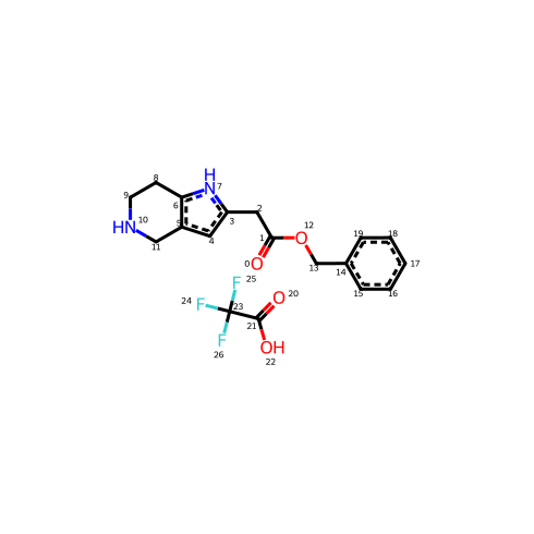 O=C(Cc1cc2c([nH]1)CCNC2)OCc1ccccc1.O=C(O)C(F)(F)F